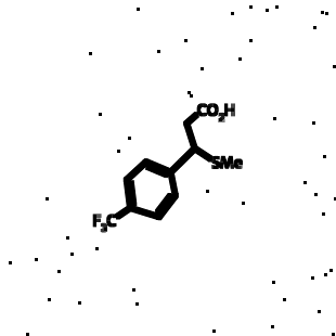 CSC(CC(=O)O)c1ccc(C(F)(F)F)cc1